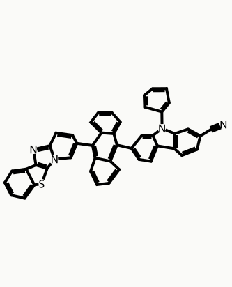 N#Cc1ccc2c3ccc(-c4c5ccccc5c(-c5ccc6nc7c8ccccc8sc7n6c5)c5ccccc45)cc3n(-c3ccccc3)c2c1